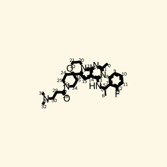 Cc1nc(N[C@H](C)c2ccccc2F)c2cc3n(c2n1)CCOC31CCN(C(=O)CCN(C)C)CC1